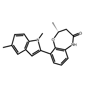 Cc1ccc2c(c1)cc(-c1cccc3c1O[C@H](C)CC(=O)N3)n2C